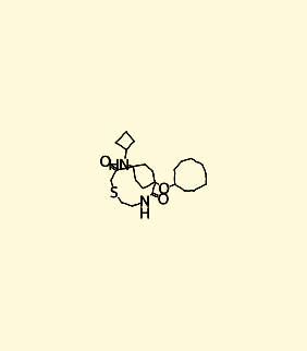 O=C1CSCCNC(=O)C2(OC3CCCCCCCC3)CCC1(NC1CCC1)CC2